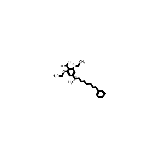 CCOc1cc([C@@H](C)CCCCCCCc2ccccc2)cc(OCC)c1C(C)O